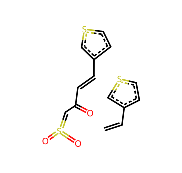 C=Cc1ccsc1.O=C(C=Cc1ccsc1)C=S(=O)=O